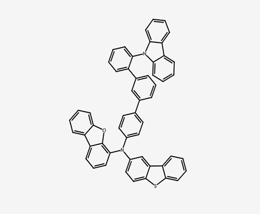 c1cc(-c2ccc(N(c3ccc4sc5ccccc5c4c3)c3cccc4c3oc3ccccc34)cc2)cc(-c2ccccc2-n2c3ccccc3c3ccccc32)c1